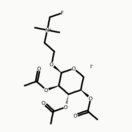 CC(=O)O[C@@H]1[C@@H](OC(C)=O)[C@@H](OCC[N+](C)(C)CF)OC[C@H]1OC(C)=O.[I-]